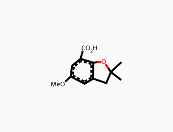 COc1cc2c(c(C(=O)O)c1)OC(C)(C)C2